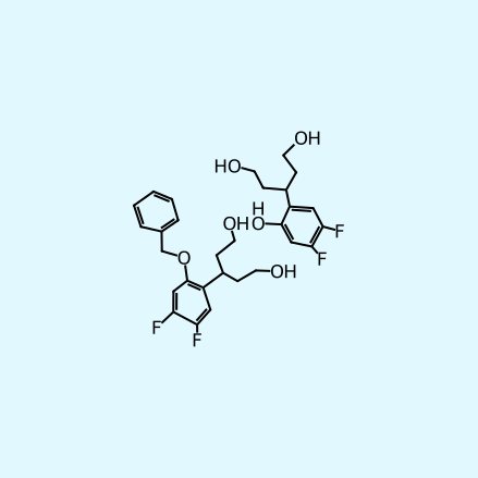 OCCC(CCO)c1cc(F)c(F)cc1O.OCCC(CCO)c1cc(F)c(F)cc1OCc1ccccc1